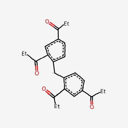 CCC(=O)c1ccc([CH]c2ccc(C(=O)CC)cc2C(=O)CC)c(C(=O)CC)c1